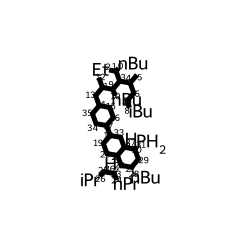 CCCCC(CC)C(C(C)CCC(C)CC)C(CCCC)C(C)CC1CCC(C2CC[C@H]3[C@@H](C(CCC)CC(C)C)[C@@H](CCCC)CC(P)[C@H]3C2)CC1